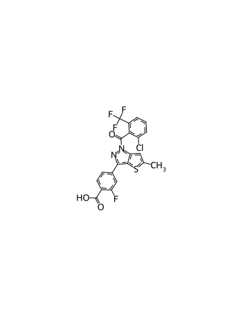 Cc1cc2c(s1)c(-c1ccc(C(=O)O)c(F)c1)nn2C(=O)c1c(Cl)cccc1C(F)(F)F